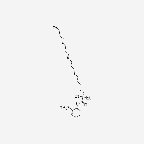 CCC=CCC=CCC=CCCCCCCCCSC(CC)(CC)C(=O)Oc1ccccc1C(=O)O